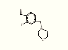 C=Cc1ccc(CN2CCOCC2)cc1F